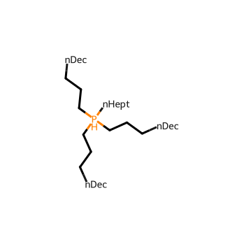 CCCCCCCCCCCCC[PH](CCCCCCC)(CCCCCCCCCCCCC)CCCCCCCCCCCCC